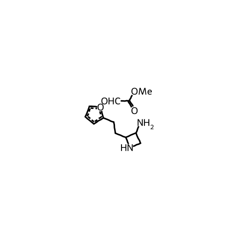 COC(=O)C=O.NC1CNC1CCc1ccco1